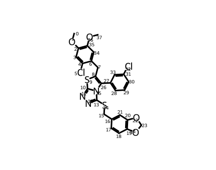 COc1cc(Cl)c(Cc2sc3nnc(SCc4ccc5c(c4)OCO5)n3c2-c2cccc(Cl)c2)cc1OC